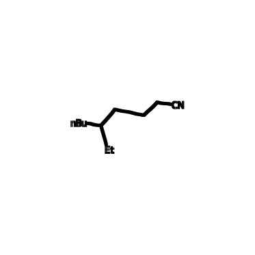 CCCCC(CC)CCCC#N